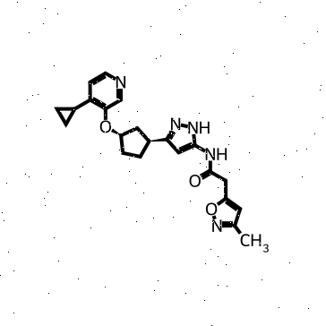 Cc1cc(CC(=O)Nc2cc([C@H]3CC[C@@H](Oc4cnccc4C4CC4)C3)n[nH]2)on1